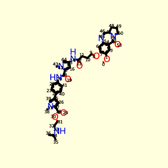 COc1cc2c(cc1OCCCC(=O)Nc1cc(C(=O)Nc3ccc(-c4cc(C(=O)OCCNC(C)C)n(C)c4)cc3)n(C)c1)N=CC1CCCN1C2=O